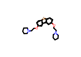 c1cc2sc3ccc(OCCN4CCCCC4)cc3c2cc1OCCN1CCCCC1